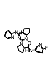 O=C(Nc1ccc(F)nc1)C1CCCN1c1nc2c(c(Nc3ccccn3)n1)CCC2